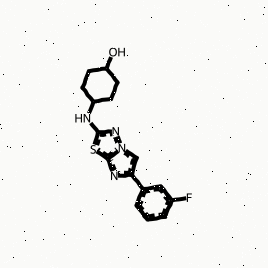 OC1CCC(Nc2nn3cc(-c4cccc(F)c4)nc3s2)CC1